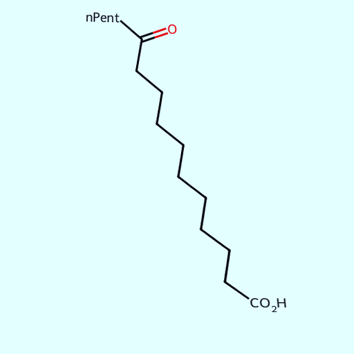 CCCCCC(=O)CCCCCCCCCC(=O)O